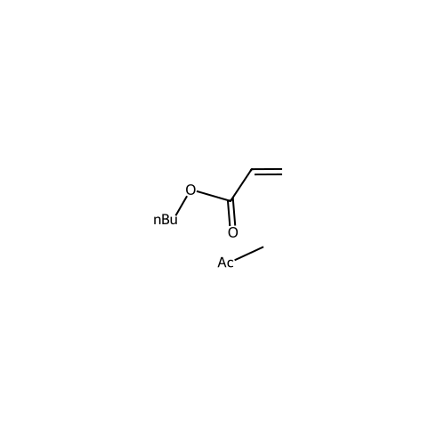 C=CC(=O)OCCCC.CC(C)=O